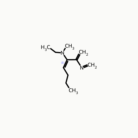 C=NC(=C)/C(=C\CCC)N(C)CC